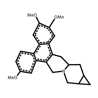 COc1ccc2c(c1)c1c(c3cc(OC)c(OC)cc32)CC2CC3CC3CN2C1